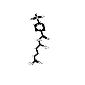 CS(=O)(=O)c1ccc(C(=O)NC(N)CCCC(=O)O)cc1